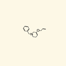 C=CCOC1=CCCN(Cc2ccccc2)C1